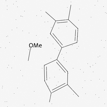 COC.Cc1ccc(-c2ccc(C)c(C)c2)cc1C